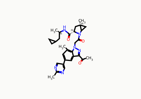 CC(=O)c1nn(CC(=O)N2C3C[C@]3(C)C[C@H]2C(=O)N[C@H](C)CC2CC2)c2c(C)cc(-c3cnc(C)nc3)cc12